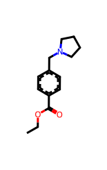 CCOC(=O)c1ccc(CN2CCCC2)cc1